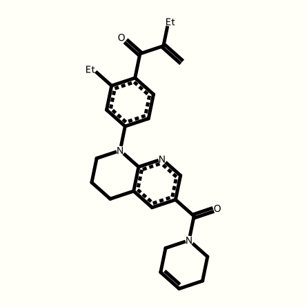 C=C(CC)C(=O)c1ccc(N2CCCc3cc(C(=O)N4CC=CCC4)cnc32)cc1CC